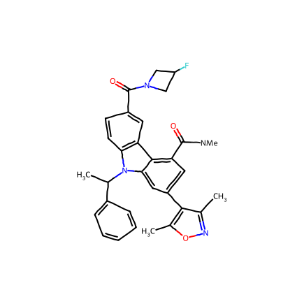 CNC(=O)c1cc(-c2c(C)noc2C)cc2c1c1cc(C(=O)N3CC(F)C3)ccc1n2C(C)c1ccccc1